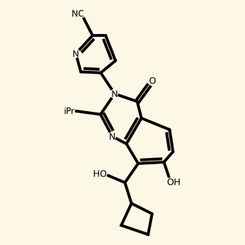 CC(C)c1nc2c(C(O)C3CCC3)c(O)ccc2c(=O)n1-c1ccc(C#N)nc1